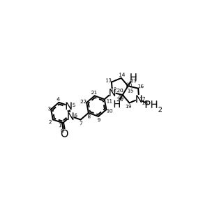 O=c1cccnn1Cc1ccc(N2CC[C@@H]3CN(P)C[C@@H]32)cc1